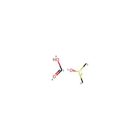 C[S+](C)[O-].O=[C]O